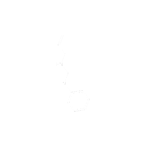 C=CCNCNc1ccccc1